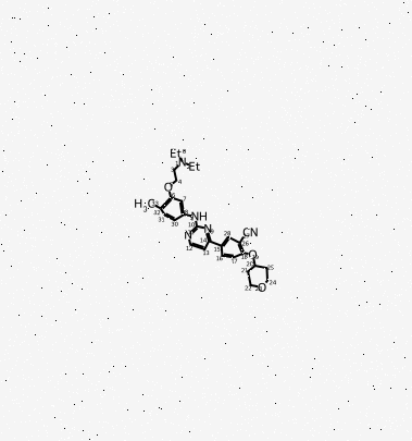 CCN(CC)CCOc1cc(Nc2nccc(-c3ccc(OC4CCOCC4)c(C#N)c3)n2)ccc1C